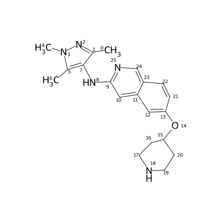 Cc1nn(C)c(C)c1Nc1cc2cc(OC3CCNCC3)ccc2cn1